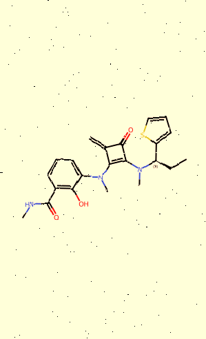 C=C1C(=O)C(N(C)[C@H](CC)c2cccs2)=C1N(C)c1cccc(C(=O)NC)c1O